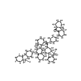 CC1(C)c2ccccc2-c2ccc(-c3c4ccccc4cc4c3oc3cccc(N(c5ccc(-c6cccc7c6oc6ccccc67)cc5)c5ccc6c(c5)C(C)(C)c5ccccc5-6)c34)cc21